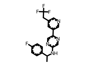 CC(Nc1cnc(-c2cncc(CC(F)(F)F)c2)cn1)c1ccc(F)cc1